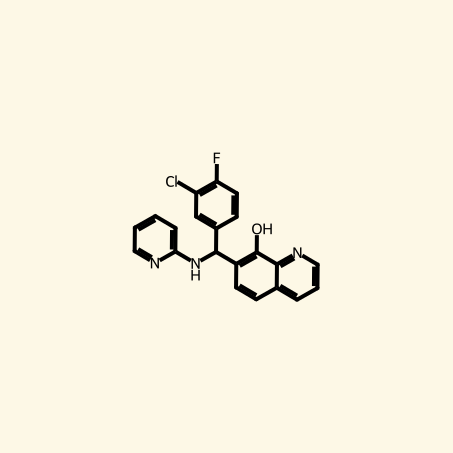 Oc1c(C(Nc2ccccn2)c2ccc(F)c(Cl)c2)ccc2cccnc12